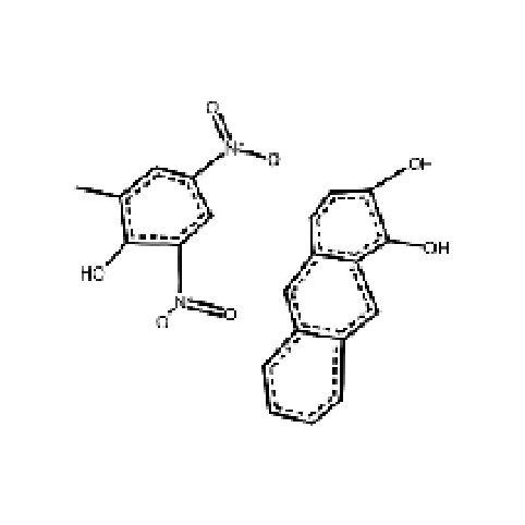 Cc1cc([N+](=O)[O-])cc([N+](=O)[O-])c1O.Oc1ccc2cc3ccccc3cc2c1O